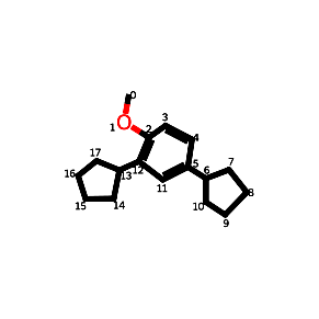 COc1ccc(C2CCCC2)cc1C1CCCC1